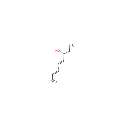 CC=CC=CC(O)CC